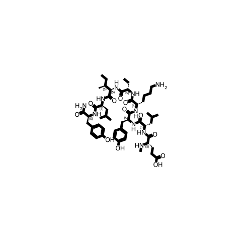 CC[C@H](NC(=O)[C@H](CCCCN)NC(=O)[C@H](Cc1ccc(O)cc1)NC(=O)[C@H](CC(C)C)NC(=O)[C@H](CCC(=O)O)NC)C(=O)N[C@H](C(=O)N[C@@H](CC(C)C)C(=O)N[C@@H](Cc1ccc(O)cc1)C(N)=O)[C@@H](C)CC